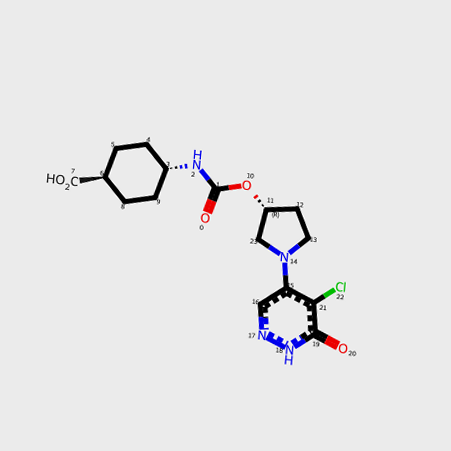 O=C(N[C@H]1CC[C@H](C(=O)O)CC1)O[C@@H]1CCN(c2cn[nH]c(=O)c2Cl)C1